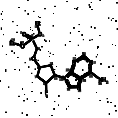 CCOP(=O)(COC1CC(F)C(n2cnc3c(N)ncnc32)C1)OCC